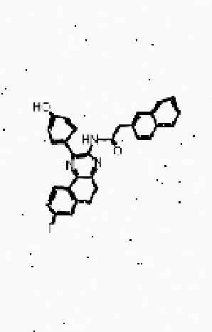 O=C(Cc1ccc2ccccc2c1)Nc1nc2c(nc1-c1ccc(O)cc1)-c1ccc(F)cc1CC2